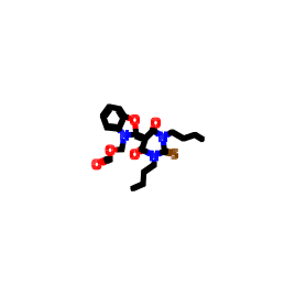 CCCCN1C(=O)C(=C2Oc3ccccc3N2COC=O)C(=O)N(CCCC)C1=S